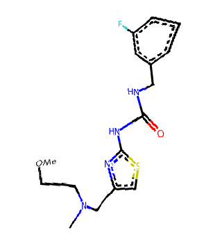 COCCN(C)Cc1csc(NC(=O)NCc2cccc(F)c2)n1